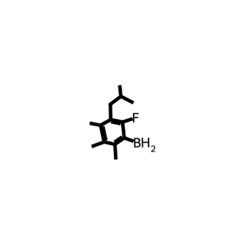 Bc1c(C)c(C)c(C)c(CC(C)C)c1F